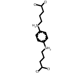 ClC(Cl)CCC[SiH2]c1ccc([SiH2]CCCC(Cl)Cl)cc1